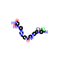 C[C@H]1CC2(CCN(c3ccc(C(=O)N4CCC(CN5CCN(c6cccc(NC7CCC(=O)NC7=O)c6)CC5)CC4)nn3)CC2)CN1c1ccc(C#N)c(Cl)c1